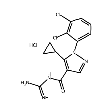 Cl.N=C(N)NC(=O)c1cnn(-c2cccc(Cl)c2Cl)c1C1CC1